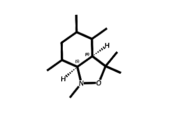 CC1CC(C)[C@H]2[C@@H](C1C)C(C)(C)ON2C